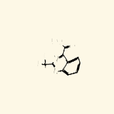 O=C(O)c1nc(C(F)(F)F)nc2ccccc12